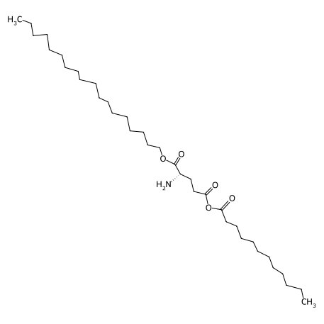 CCCCCCCCCCCCCCCCCCOC(=O)[C@@H](N)CCC(=O)OC(=O)CCCCCCCCCCC